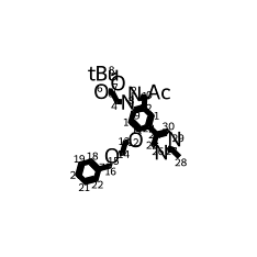 CC(=O)c1nn(CC(=O)OC(C)(C)C)c2cc(OCCOCc3ccccc3)c(-c3cnc(C)nc3)cc12